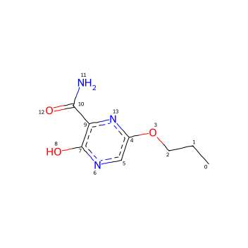 CCCOc1cnc(O)c(C(N)=O)n1